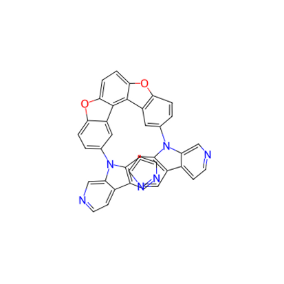 c1cc2c(cn1)c1ccncc1n2-c1ccc2oc3ccc4oc5ccc(-n6c7ccncc7c7ccncc76)cc5c4c3c2c1